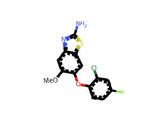 COc1cc2nc(N)sc2cc1Oc1ccc(F)cc1Cl